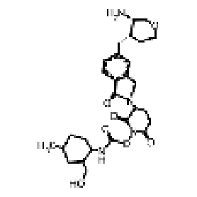 CC1CC[C@H](NC(=O)ON2C(=O)CCC(N3Cc4cc(C[C@H]5CCOC[C@@H]5N)ccc4C3=O)C2=O)[C@@H](CO)C1